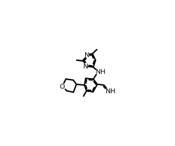 Cc1cc(Nc2cc(C3CCOCC3)c(C)cc2C=N)nc(C)n1